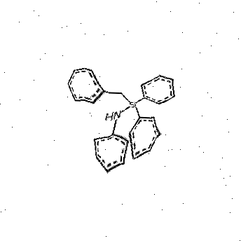 c1ccc(C[Si](Nc2ccccc2)(c2ccccc2)c2ccccc2)cc1